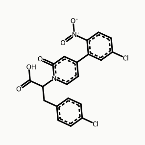 O=C(O)C(Cc1ccc(Cl)cc1)n1ccc(-c2cc(Cl)ccc2[N+](=O)[O-])cc1=O